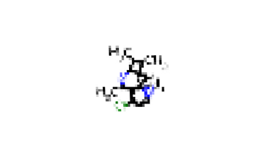 C/C(=N/C1C(C)C(C)C1C)c1c(Cl)ccnc1C